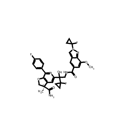 COc1cc(C(=O)NCC(O)(c2cc3c(c(-c4ccc(F)cc4)n2)OC[C@]3(C)C(N)=O)C2(F)CC2)cc2cn(C3(F)CC3)nc12